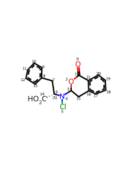 O=C1OC(N(Cl)[C@@H](Cc2ccccc2)C(=O)O)Cc2ccccc21